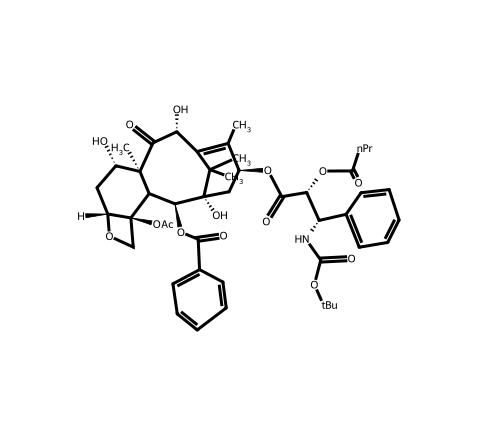 CCCC(=O)O[C@@H](C(=O)O[C@H]1C[C@@]2(O)[C@@H](OC(=O)c3ccccc3)C3[C@](C)(C(=O)[C@H](O)C(=C1C)C2(C)C)[C@@H](O)C[C@H]1OC[C@@]31OC(C)=O)[C@@H](NC(=O)OC(C)(C)C)c1ccccc1